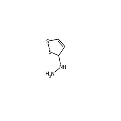 NNC1C=CSS1